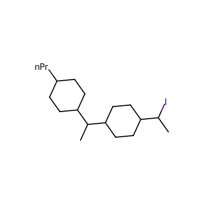 CCCC1CCC(C(C)C2CCC(C(C)I)CC2)CC1